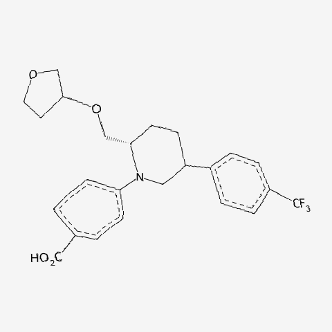 O=C(O)c1ccc(N2CC(c3ccc(C(F)(F)F)cc3)CC[C@H]2COC2CCOC2)cc1